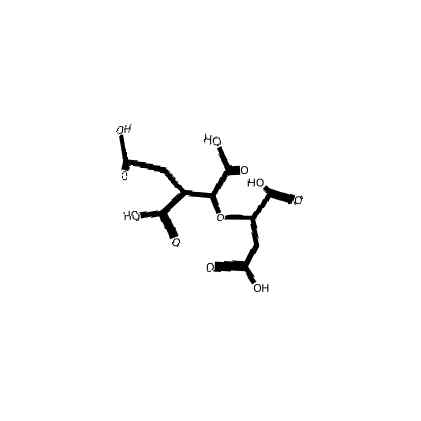 O=C(O)CC(OC(C(=O)O)C(CC(=O)O)C(=O)O)C(=O)O